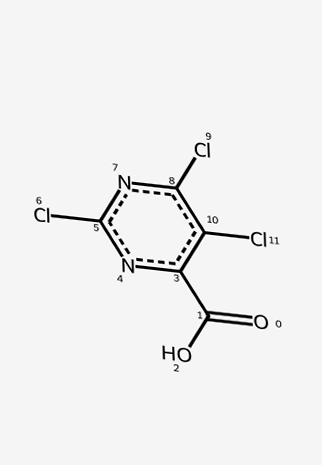 O=C(O)c1nc(Cl)nc(Cl)c1Cl